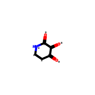 O=C1CCNC(=O)C1=O